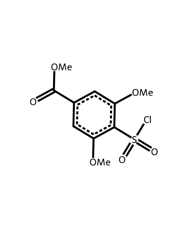 COC(=O)c1cc(OC)c(S(=O)(=O)Cl)c(OC)c1